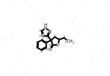 CCC1CC(c2ccccc2)(c2nc[nH]n2)C(=O)O1